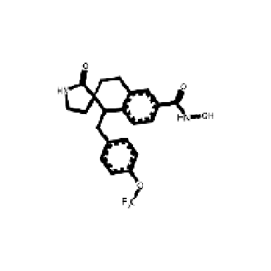 O=C(NO)c1ccc2c(c1)CC[C@]1(CCNC1=O)C2Cc1ccc(OC(F)(F)F)cc1